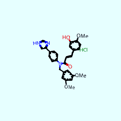 COc1cc(CN(C(=O)/C=C/c2ccc(OC)c(O)c2)c2ccc(-c3c[nH]cn3)cc2)cc(OC)c1.Cl